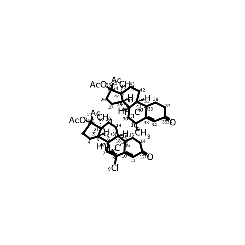 CC(=O)O[C@]1(C(C)=O)CC[C@H]2[C@@H]3C=C(Cl)C4=CC(=O)CC[C@]4(C)[C@H]3CC[C@@]21C.CC(=O)O[C@]1(C(C)=O)CC[C@H]2[C@@H]3C[C@H](C)C4=CC(=O)CC[C@]4(C)[C@H]3CC[C@@]21C